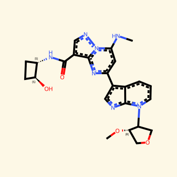 CNc1cc(-c2cnc3n(C4COC[C@@H]4OC)cccc2-3)nc2c(C(=O)N[C@H]3CC[C@@H]3O)cnn12